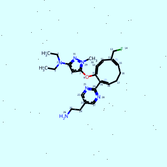 CCN(CC)c1cc(OC2=C=C/C(CF)=C\CC/C=C\2c2ncc(CCN)cn2)n(C)n1